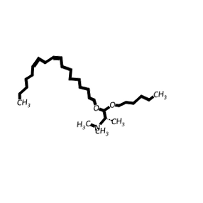 CCCCC/C=C\C/C=C\CCCCCCCCOC(OCCCCCC)[C@H](C)N(C)C